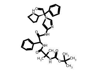 CC(C)(C)OC(=O)NC(C)(C)C(=O)NC(C(=O)Nc1cn([C@](C=O)(c2ccccc2)C2CCCN2)cn1)c1ccccc1